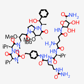 CC[C@H](C)[C@@H]([C@@H](CC(=O)N1CCC[C@H]1[C@H](OC)[C@@H](C)C(=O)N[C@H](C)[C@@H](O)c1ccccc1)OC)N(C)C(=O)[C@@H](NC(=O)[C@H](C(C)C)N(C)C(=O)OCc1ccc(NC(=O)[C@H](CCCNC(N)=O)NC(=O)[C@@H](NC(=O)[C@@H](N)CCC(=O)NC2O[C@H](C(N)=O)[C@@H](O)[C@H]2O)C(C)C)cc1)C(C)C